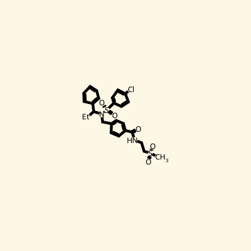 CCC(c1ccccc1)N(Cc1ccc(C(=O)NCCS(C)(=O)=O)cc1)S(=O)(=O)c1ccc(Cl)cc1